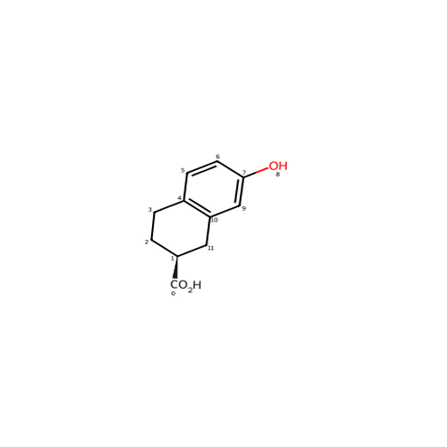 O=C(O)[C@H]1CCc2ccc(O)cc2C1